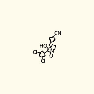 N#Cc1ccc(CC23CCCN2C(=O)C(c2cc(Cl)cc(Cl)c2)=C3O)cc1